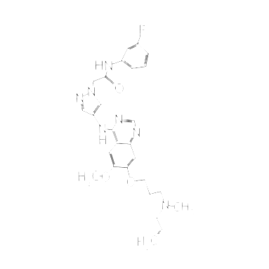 C=CCN(C)CCCOc1cc2ncnc(Nc3cnn(CC(=O)Nc4cccc(F)c4)c3)c2cc1OC